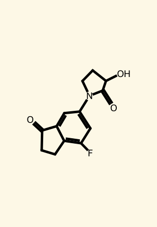 O=C1CCc2c(F)cc(N3CCC(O)C3=O)cc21